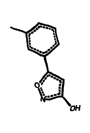 Cc1cccc(-c2cc(O)no2)c1